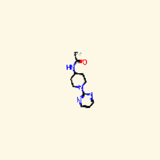 CC(C)C(=O)NC1CCN(c2ncccn2)CC1